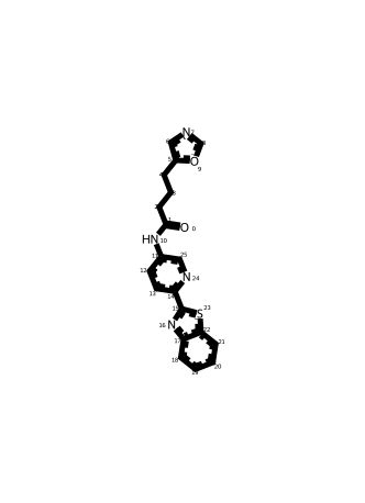 O=C(CCCc1cnco1)Nc1ccc(-c2nc3ccccc3s2)nc1